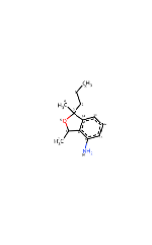 CCCC1(C)OC(C)c2c(N)cccc21